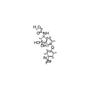 C=CC(=O)NC1CS(O)(O)c2cc(Oc3ccc(C(F)(F)F)cc3)ccc21